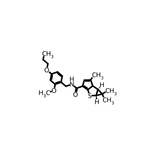 CCCOc1ccc(CNC(=O)C2=C3S[C@@H]4[C@@H](C3C(C)=C2)C4(C)C)c(OC)c1